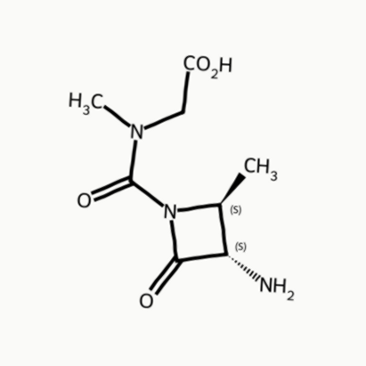 C[C@H]1[C@H](N)C(=O)N1C(=O)N(C)CC(=O)O